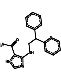 NC(=O)c1[nH]cnc1NCC(c1ccccc1)c1ccccn1